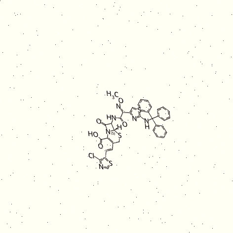 CON=C(C(=O)NC1C(=O)N2C(C(=O)O)=C(C=Cc3scnc3Cl)CS[C@@H]12)c1csc(NC(c2ccccc2)(c2ccccc2)c2ccccc2)n1